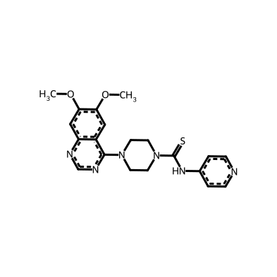 COc1cc2ncnc(N3CCN(C(=S)Nc4ccncc4)CC3)c2cc1OC